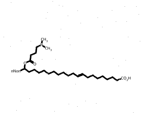 CCCCCCCCCC(CCCCCCCCCCC=CCCCCCCCC(=O)O)OC(=O)CCCN(C)C